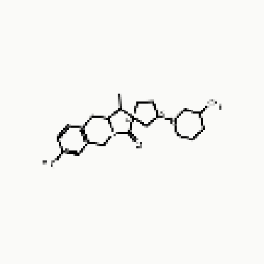 CC1C2Cc3ccc(C(F)(F)F)cc3CN2C(=O)[C@]12CC[C@@H](N1CCCC(C(F)(F)F)C1)C2